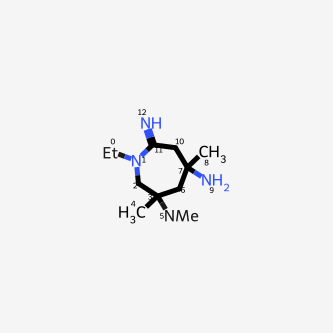 CCN1CC(C)(NC)CC(C)(N)CC1=N